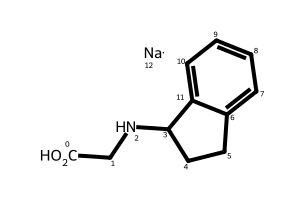 O=C(O)CNC1CCc2ccccc21.[Na]